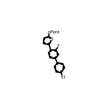 CCCCCc1ccc(-c2ccc(-c3ccc(CC)cc3)cc2F)s1